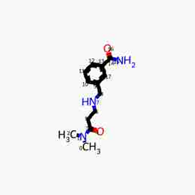 CN(C)C(=O)CCNCc1cccc(C(N)=O)c1